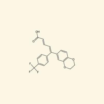 O=C(O)C=CC=C(c1ccc(C(F)(F)F)cc1)c1ccc2c(c1)OCCO2